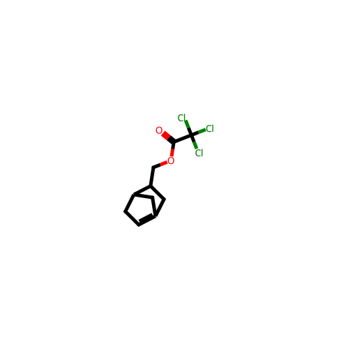 O=C(OCC1CC2=CCC1C2)C(Cl)(Cl)Cl